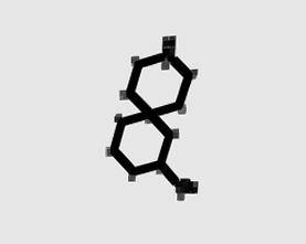 CC(C)(C)C1CCCC2(CCNCC2)C1